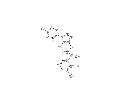 [2H]c1ccc(-c2nnc3n2CCN(C(=O)c2cccc(C(F)(F)F)c2Cl)C3)nc1